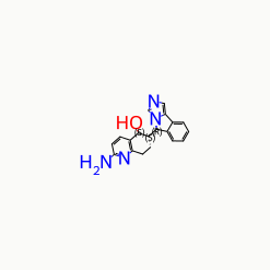 Nc1ccc2c(n1)CC[C@@H]([C@@H]1c3ccccc3-c3cncn31)[C@@H]2O